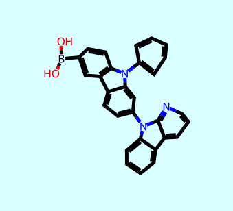 OB(O)c1ccc2c(c1)c1ccc(-n3c4ccccc4c4cccnc43)cc1n2-c1ccccc1